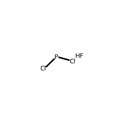 Cl[P]Cl.F